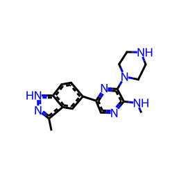 CNc1ncc(-c2ccc3[nH]nc(C)c3c2)nc1N1CCNCC1